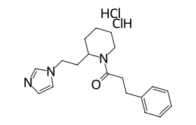 Cl.Cl.O=C(CCc1ccccc1)N1CCCCC1CCn1ccnc1